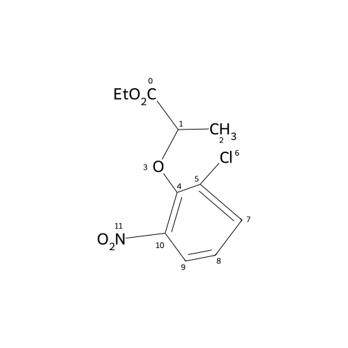 CCOC(=O)C(C)Oc1c(Cl)cccc1[N+](=O)[O-]